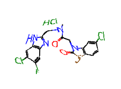 CN(Cc1nc2cc(F)c(Cl)cc2[nH]1)C(=O)Cn1c(=O)sc2ccc(Cl)cc21.Cl